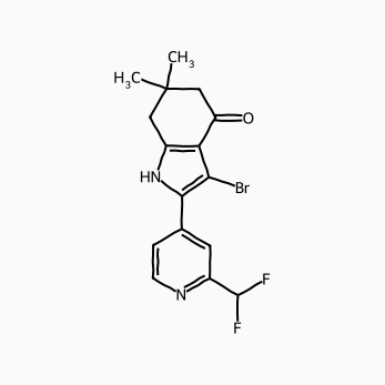 CC1(C)CC(=O)c2c([nH]c(-c3ccnc(C(F)F)c3)c2Br)C1